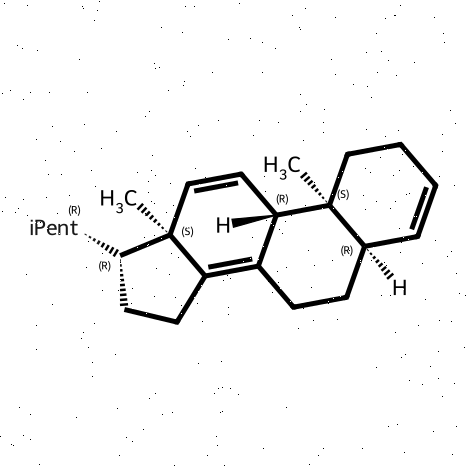 CCC[C@@H](C)[C@H]1CCC2=C3CC[C@@H]4C=CCC[C@]4(C)[C@H]3C=C[C@@]21C